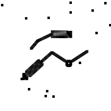 CCC#N.COCC#N